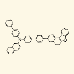 c1ccc(-c2ccc(N(c3ccc(-c4ccc(-c5ccc6c(ccc7oc8ccccc8c76)c5)cc4)cc3)c3ccc4ccccc4c3)cc2)cc1